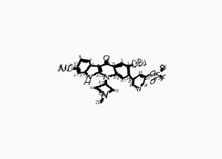 CC(C)COc1cc2c(=O)c3c4ccc(C#N)cc4[nH]c3n(C3CN(C)C3)c2cc1-c1cncc(OS(=O)(=O)F)c1